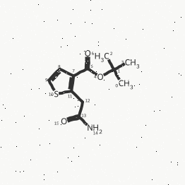 CC(C)(C)OC(=O)c1ccsc1CC(N)=O